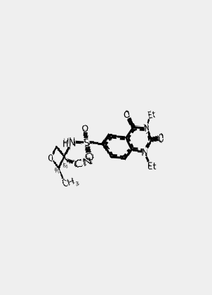 CCn1c(=O)c2cc(S(=O)(=O)N[C@@]3(C#N)CO[C@@H]3C)ccc2n(CC)c1=O